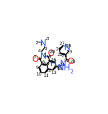 CN(C)CCN1C(=O)c2cccc3cc(N)cc(c23)C1=O.NC(=O)c1cccnc1